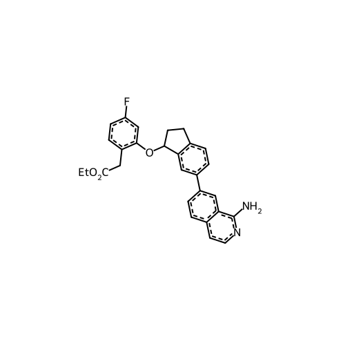 CCOC(=O)Cc1ccc(F)cc1OC1CCc2ccc(-c3ccc4ccnc(N)c4c3)cc21